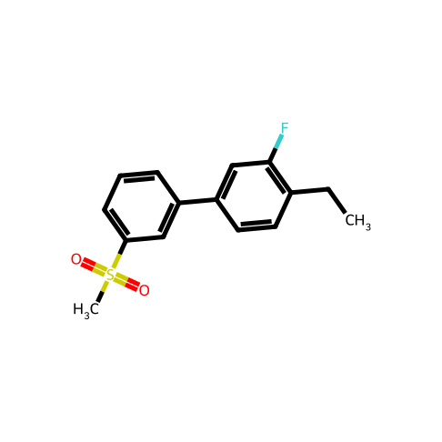 CCc1ccc(-c2cccc(S(C)(=O)=O)c2)cc1F